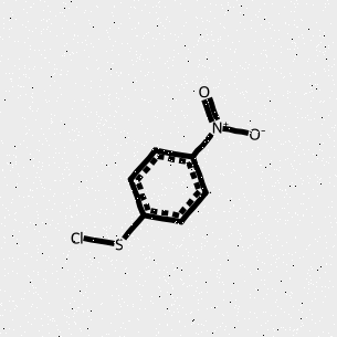 O=[N+]([O-])c1[c]cc(SCl)cc1